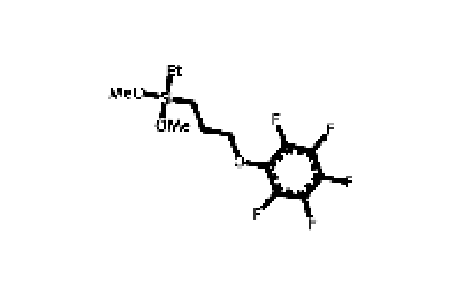 CC[Si](CCCOc1c(F)c(F)c(F)c(F)c1F)(OC)OC